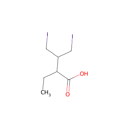 CCC(C(=O)O)C(CI)CI